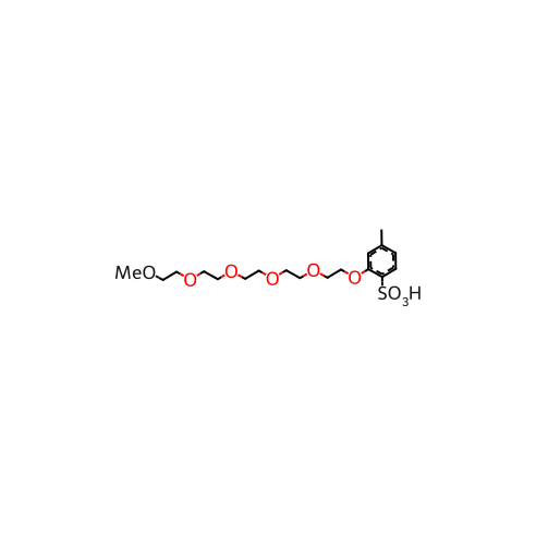 COCCOCCOCCOCCOCCOc1cc(C)ccc1S(=O)(=O)O